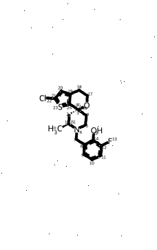 C[C@H]1C[C@@]2(CCN1Cc1cccc(F)c1O)OCCc1cc(Cl)sc12